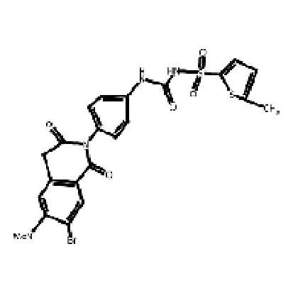 CNc1cc2c(cc1Br)C(=O)N(c1ccc(NC(=O)NS(=O)(=O)c3ccc(C)s3)cc1)C(=O)C2